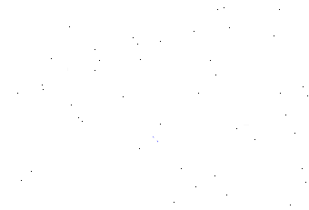 CC=Cc1ccc(C)cn1